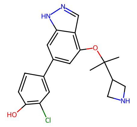 CC(C)(Oc1cc(-c2ccc(O)c(Cl)c2)cc2[nH]ncc12)C1CNC1